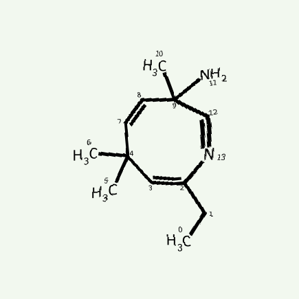 CCC1=C/C(C)(C)/C=C\C(C)(N)/C=N\1